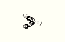 CC1=CNC(c2cn(CC3CCOCC3)cc(C(=O)O)c2=O)C=C1